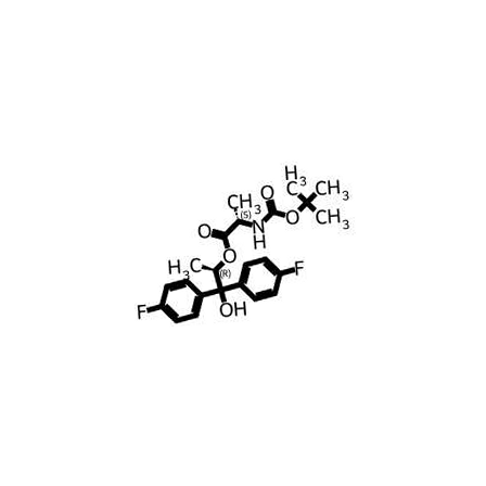 C[C@H](NC(=O)OC(C)(C)C)C(=O)O[C@H](C)C(O)(c1ccc(F)cc1)c1ccc(F)cc1